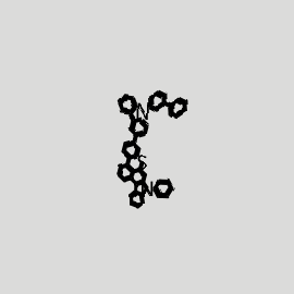 c1ccc(-c2cccc(-n3c4ccccc4c4cc(-c5ccc6c(c5)Sc5cc7c(c8cccc-6c58)c5ccccc5n7-c5ccccc5)ccc43)c2)cc1